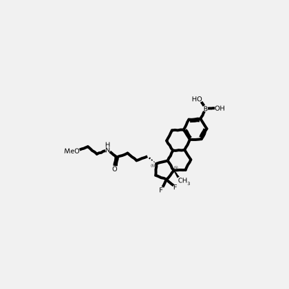 COCCNC(=O)CCC[C@H]1CC(F)(F)[C@@]2(C)CCC3c4ccc(B(O)O)cc4CCC3C12